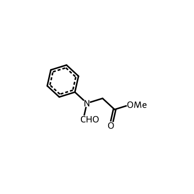 COC(=O)CN(C=O)c1ccccc1